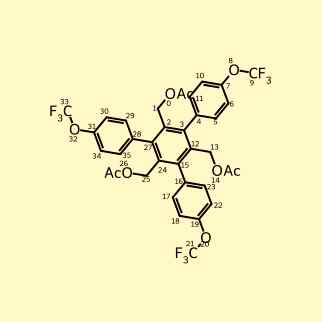 CC(=O)OCc1c(-c2ccc(OC(F)(F)F)cc2)c(COC(C)=O)c(-c2ccc(OC(F)(F)F)cc2)c(COC(C)=O)c1-c1ccc(OC(F)(F)F)cc1